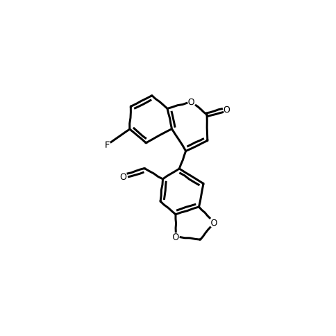 O=Cc1cc2c(cc1-c1cc(=O)oc3ccc(F)cc13)OCO2